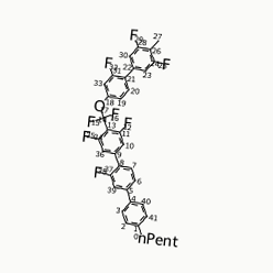 CCCCCc1ccc(-c2ccc(-c3cc(F)c(C(F)(F)Oc4ccc(-c5cc(F)c(C)c(F)c5)c(F)c4)c(F)c3)c(F)c2)cc1